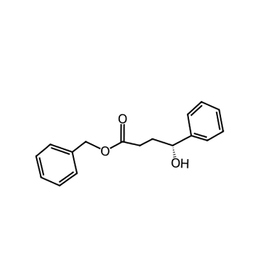 O=C(CC[C@@H](O)c1ccccc1)OCc1ccccc1